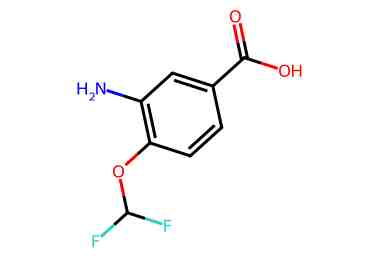 Nc1cc(C(=O)O)ccc1OC(F)F